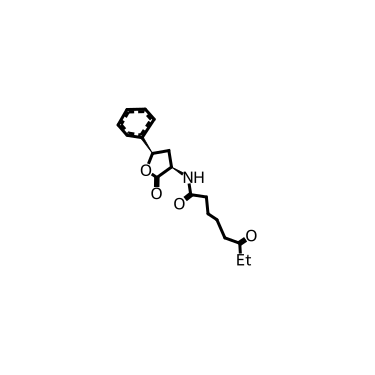 CCC(=O)CCCCC(=O)N[C@@H]1C[C@H](c2ccccc2)OC1=O